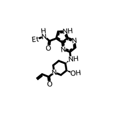 C=CC(=O)N1CC[C@H](Nc2cnc3[nH]cc(C(=O)NCC)c3n2)[C@@H](O)C1